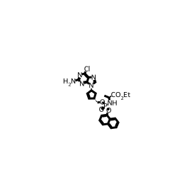 CCOC(=O)[C@H](C)NP(=O)(OC[C@@H]1C=C[C@H](n2cnc3c(Cl)nc(N)nc32)C1)Oc1cccc2ccccc12